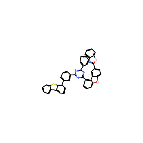 c1ccc(-c2nc(-c3cccc(-c4cccc5c4sc4ccccc45)c3)nc(-c3cccc4oc5ccc(-c6nc7ccccc7o6)cc5c34)n2)cc1